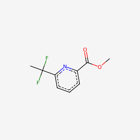 COC(=O)c1cccc(C(C)(F)F)n1